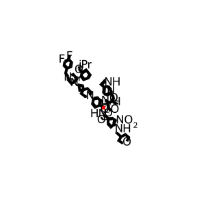 CC(C)Oc1ccccc1[C@@H]1CN(Cc2ccc(F)c(F)c2)CCN1C1CC2(CCN(c3ccc(C(=O)NS(=O)(=O)c4ccc(NCC5CCOCC5)c([N+](=O)[O-])c4)c(N4c5cc6cc[nH]c6nc5O[C@H]5COCC[C@@H]54)c3)CC2)C1